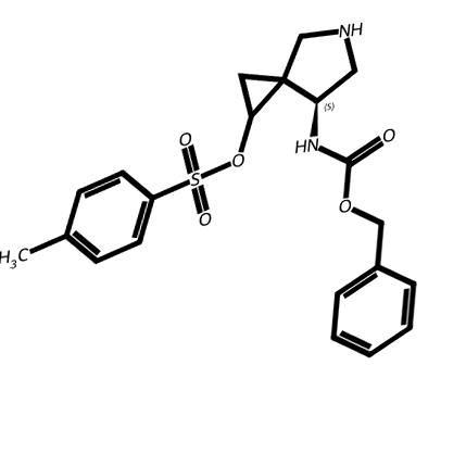 Cc1ccc(S(=O)(=O)OC2CC23CNC[C@H]3NC(=O)OCc2ccccc2)cc1